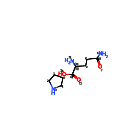 C1CCNC1.NC(=O)CC[C@H](N)C(=O)O